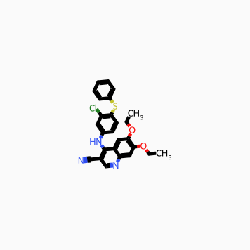 CCOc1cc2ncc(C#N)c(Nc3ccc(Sc4ccccc4)c(Cl)c3)c2cc1OCC